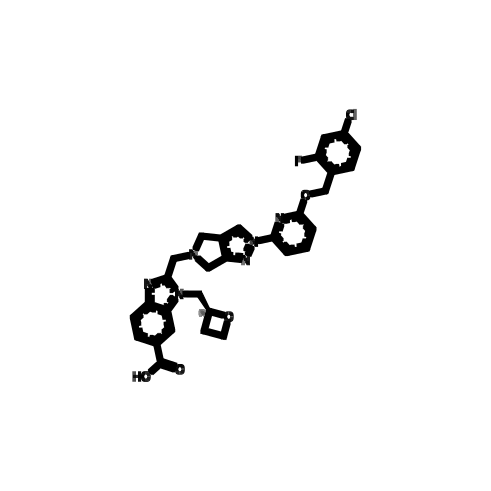 O=C(O)c1ccc2nc(CN3Cc4cn(-c5cccc(OCc6ccc(Cl)cc6F)n5)nc4C3)n(C[C@@H]3CCO3)c2c1